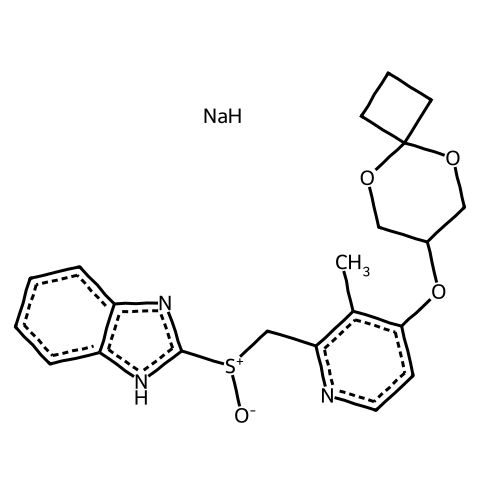 Cc1c(OC2COC3(CCC3)OC2)ccnc1C[S+]([O-])c1nc2ccccc2[nH]1.[NaH]